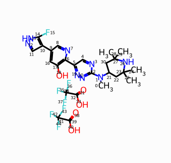 CN(c1ncc(-c2ncc(-c3cn[nH]c3F)cc2O)nn1)C1CC(C)(C)NC(C)(C)C1.O=C(O)C(F)(F)F.O=C(O)C(F)(F)F